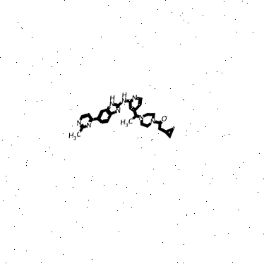 Cc1nccc(-c2ccc3nc(Nc4cc(C(C)N5CCN(C(=O)CC6CC6)CC5)ccn4)[nH]c3c2)n1